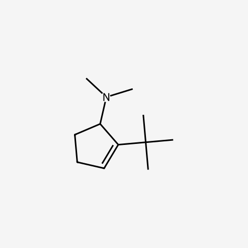 CN(C)C1CCC=C1C(C)(C)C